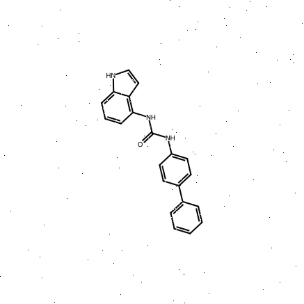 O=C(Nc1ccc(-c2ccccc2)cc1)Nc1cccc2[nH]ccc12